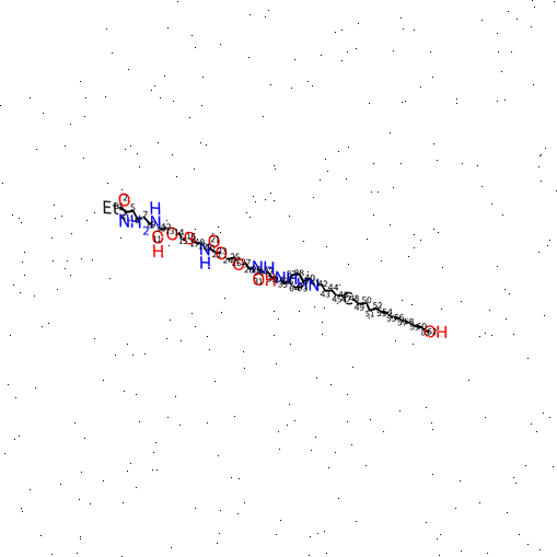 CCC(=O)C(N)CCCCNC(O)COCCOCCNC(=O)COCCOCCNC(O)CCNCC1CCC(CNCCCCCCCCCCCCCCCCCCCCO)CC1